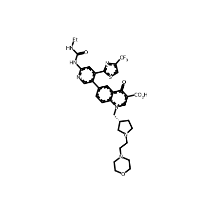 CCNC(=O)Nc1cc(-c2nc(C(F)(F)F)cs2)c(-c2ccc3c(c2)c(=O)c(C(=O)O)cn3C[C@@H]2CCN(CCN3CCOCC3)C2)cn1